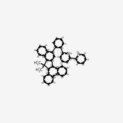 CC1(C)c2c(cc(-c3ccccc3-c3cccc(-c4ccccn4)n3)c3ccccc23)-c2c1c1ccccc1c1ccccc21